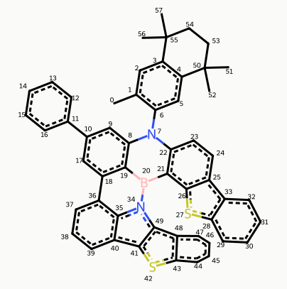 Cc1cc2c(cc1N1c3cc(-c4ccccc4)cc4c3B(c3c1ccc1c3sc3ccccc31)n1c3c-4cccc3c3sc4ccccc4c31)C(C)(C)CCC2(C)C